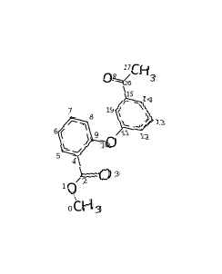 COC(=O)c1ccccc1Oc1cccc(C(C)=O)c1